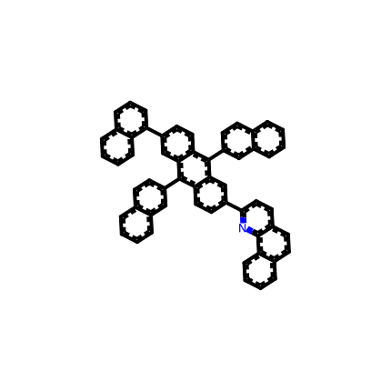 c1ccc2cc(-c3c4ccc(-c5cccc6ccccc56)cc4c(-c4ccc5ccccc5c4)c4ccc(-c5ccc6ccc7ccccc7c6n5)cc34)ccc2c1